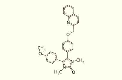 COc1ccc(-c2c(-c3ccc(OCc4ccc5ccccc5n4)cc3)n(C)c(=O)n2C)cc1